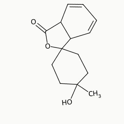 CC1(O)CCC2(CC1)OC(=O)C1C=CC=CC12